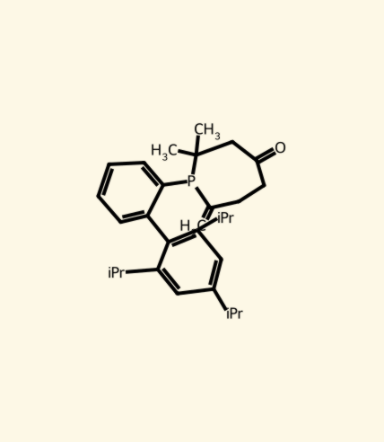 C=C1CCC(=O)CC(C)(C)P1c1ccccc1-c1c(C(C)C)cc(C(C)C)cc1C(C)C